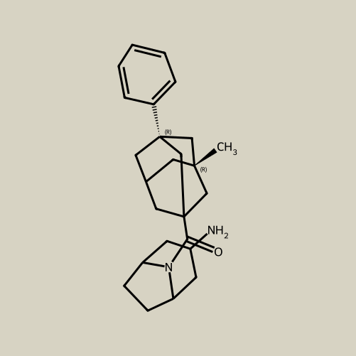 C[C@]12CC3CC(C(=O)N4C5CCC4CC(N)C5)(C1)C[C@@](c1ccccc1)(C3)C2